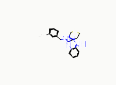 CC(C)c1cccc(CNC2=Nc3ccccc3NC23CCSCC3)c1